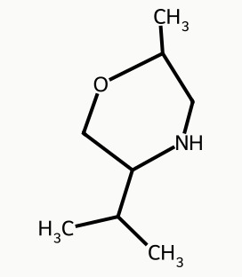 CC1CNC(C(C)C)CO1